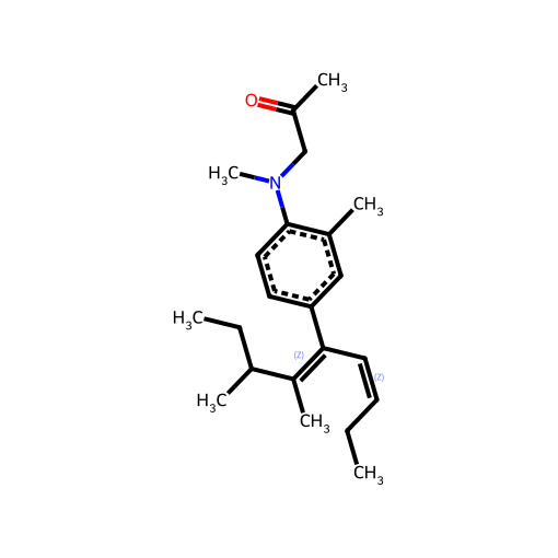 CC/C=C\C(=C(/C)C(C)CC)c1ccc(N(C)CC(C)=O)c(C)c1